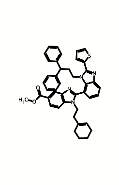 COC(=O)c1ccc2c(c1)nc(-c1cccc3nc(-c4cccs4)n(CCC(c4ccccc4)c4ccccc4)c13)n2CCC1=CCCCC1